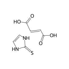 O=C(O)C=CC(=O)O.S=c1[nH]cc[nH]1